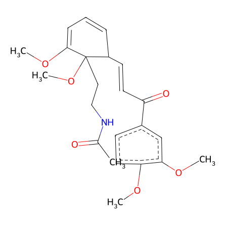 COC1=CC=CC(/C=C/C(=O)c2ccc(OC)c(OC)c2)C1(CCNC(C)=O)OC